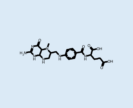 CN1C(CNc2ccc(C(=O)NC(CCC(=O)O)C(=O)O)cc2)CNC2NC(N)=NC(=O)C21